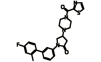 Cc1cc(F)ccc1-c1cccc(N2CC(N3CCN(C(=O)c4nccs4)CC3)CC2=O)c1